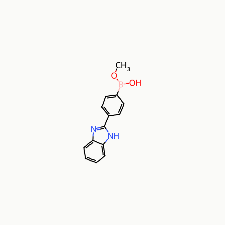 COB(O)c1ccc(-c2nc3ccccc3[nH]2)cc1